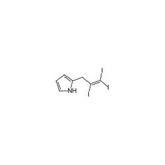 IC(I)=C(I)Cc1ccc[nH]1